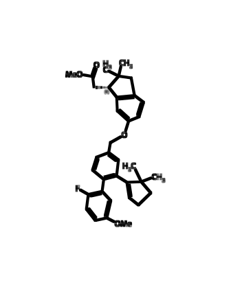 COC(=O)C[C@H]1c2cc(OCc3ccc(-c4cc(OC)ccc4F)c(C4=CCCC4(C)C)c3)ccc2CC1(C)C